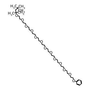 CC(C)(C)CC(C)(C)OCCOCCOCCOCCOCCOCCOCCOCCOCCOCCOCCOCCOc1ccccc1